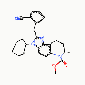 COC(=O)N1c2ccc3c(nc(Cc4ccccc4C#N)n3C3CCCCC3)c2CC[C@@H]1C